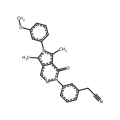 COc1cccc(-n2c(C)c3cnn(-c4cccc(CC#N)c4)c(=O)c3c2C)c1